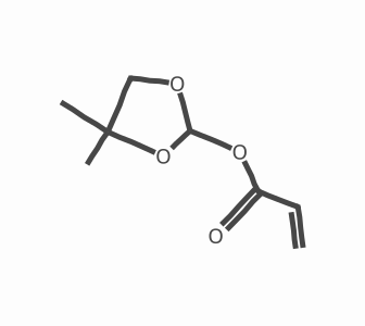 C=CC(=O)OC1OCC(C)(C)O1